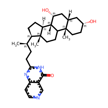 C[C@H](CCc1nc2ccncc2c(=O)[nH]1)[C@H]1CC[C@H]2[C@H]3C(CC[C@]12C)[C@@]1(C)CC[C@@H](O)C[C@H]1C[C@H]3O